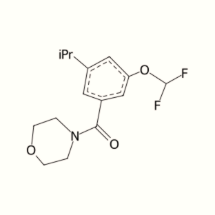 CC(C)c1cc(OC(F)F)cc(C(=O)N2CCOCC2)c1